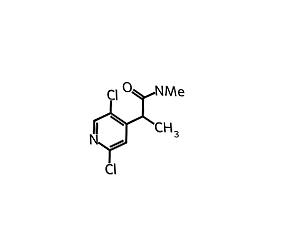 CNC(=O)C(C)c1cc(Cl)ncc1Cl